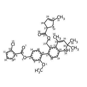 COc1cc(OC(=O)c2sccc2Cl)ccc1-c1ccc2c(c1COC(=O)C1CC=C(C)S1)C(C)=CC(C)(C)N2